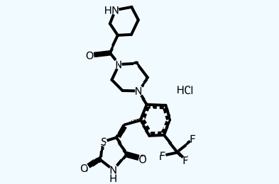 Cl.O=C1NC(=O)/C(=C\c2cc(C(F)(F)F)ccc2N2CCN(C(=O)C3CCCNC3)CC2)S1